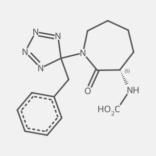 O=C(O)N[C@H]1CCCCN(C2(Cc3ccccc3)N=NN=N2)C1=O